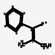 O=C(O)C(=C(F)c1ccccc1)C(F)(F)F